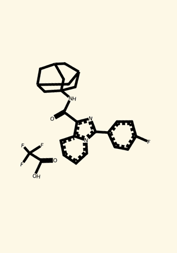 O=C(NC12CC3CC(CC(C3)C1)C2)c1nc(-c2ccc(F)cc2)n2ccccc12.O=C(O)C(F)(F)F